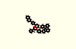 c1ccc(C2(c3ccccc3)c3ccccc3-c3ccc(N(c4ccc(-c5ccc(-c6ccc7ccccc7c6)cc5)cc4)c4ccccc4-c4cccc5c4sc4ccccc45)cc32)cc1